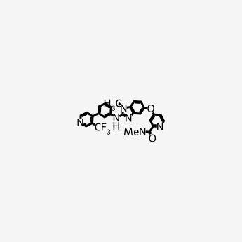 CNC(=O)c1cc(Oc2ccc3c(c2)nc(Nc2cccc(-c4ccncc4C(F)(F)F)c2)n3C)ccn1